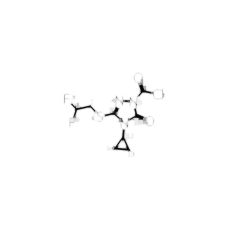 O=C(Cl)n1nc(SCC(F)F)n(C2CC2)c1=O